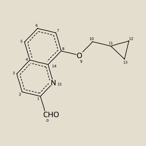 O=Cc1ccc2cccc(OCC3CC3)c2n1